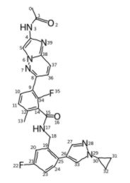 CC(=O)Nc1cn2nc(-c3ccc(C)c(C(=O)NCc4cc(F)ccc4-c4cnn(C5CC5)c4)c3F)ccc2n1